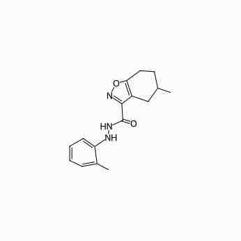 Cc1ccccc1NNC(=O)c1noc2c1CC(C)CC2